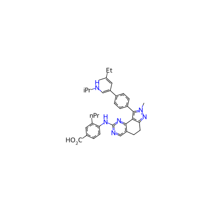 CCCc1cc(C(=O)O)ccc1Nc1ncc2c(n1)-c1c(nn(C)c1-c1ccc(C(/C=C(\C)CC)=C/NC(C)C)cc1)CC2